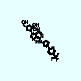 OC[C@@H]1C[C@@H](n2cnc3c(N[C@H]4CCN(c5ccc(C(F)(F)F)cn5)C4)ncnc32)C(O)(O)C1